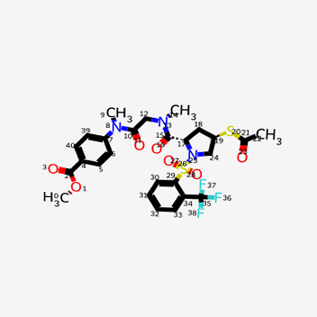 COC(=O)c1ccc(N(C)C(=O)CN(C)C(=O)[C@@H]2C[C@@H](SC(C)=O)CN2S(=O)(=O)c2ccccc2C(F)(F)F)cc1